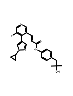 CC(C)(O)Cc1ccc(NC(=O)/C=C/c2cncc(F)c2-c2cnn(C3CC3)c2)cc1